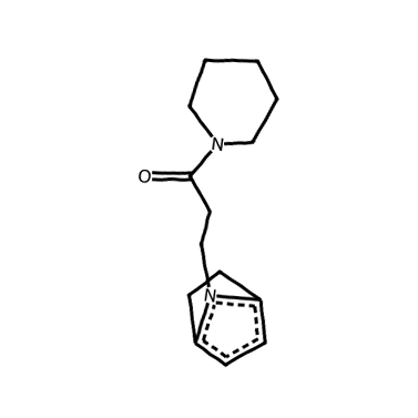 O=C(CCn1c2ccc1CC2)N1CCCCC1